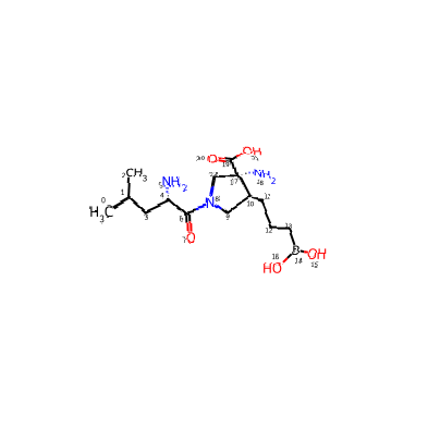 CC(C)C[C@H](N)C(=O)N1C[C@H](CCCB(O)O)[C@](N)(C(=O)O)C1